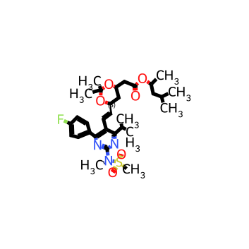 CC(C)CC(C)OC(=O)CC1C[C@@H](C=Cc2c(-c3ccc(F)cc3)nc(N(C)S(C)(=O)=O)nc2C(C)C)OC(C)(C)O1